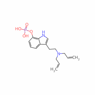 C=CCN(CC=C)CCc1c[nH]c2c(OP(=O)(O)O)cccc12